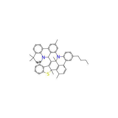 CCCCc1ccc2c(c1)C1(C)C=CC(C)C3=C1C1(C)C(=C4c5ccccc5SC43C)C3c4c(cc(C)cc4N21)-c1cccc2c1N3c1ccccc1C2(C)C